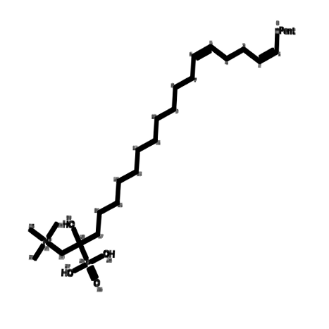 CCCCC/C=C\CC/C=C\CCCCCCCCCCCC(O)(C[N+](C)(C)C)P(=O)(O)O